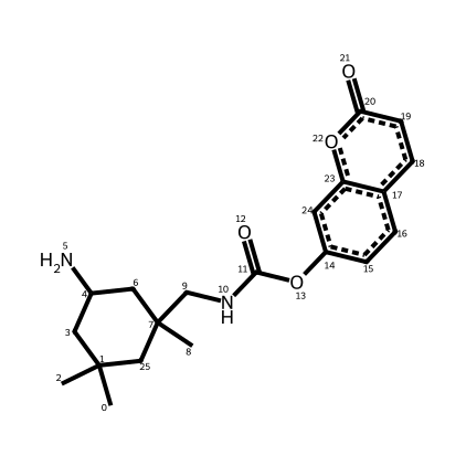 CC1(C)CC(N)CC(C)(CNC(=O)Oc2ccc3ccc(=O)oc3c2)C1